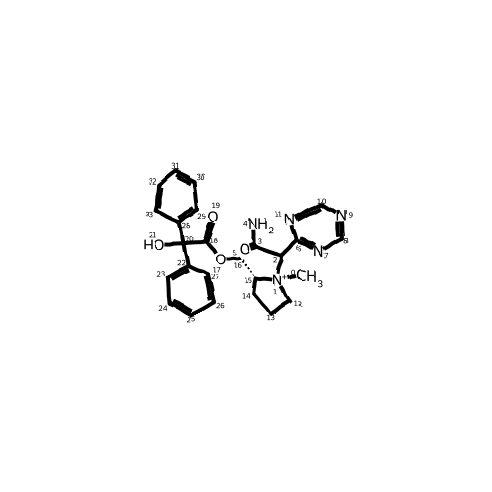 C[N+]1(C(C(N)=O)c2ncncn2)CCC[C@@H]1COC(=O)C(O)(c1ccccc1)c1ccccc1